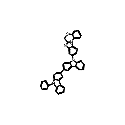 c1ccc(-n2c3ccccc3c3cc(-c4ccc5c(c4)c4ccccc4n5-c4ccc5c(c4)nc4n5-c5ccccc5SC4)ccc32)cc1